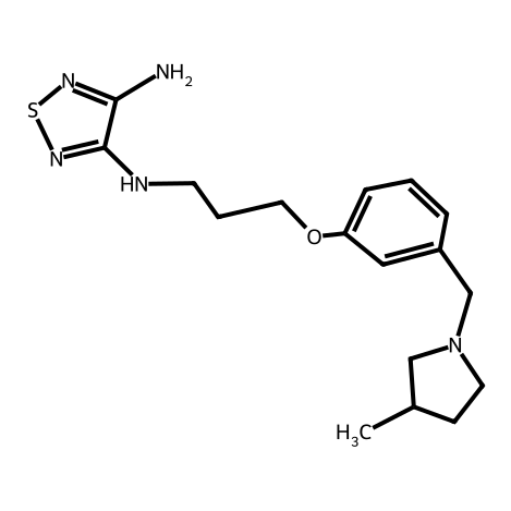 CC1CCN(Cc2cccc(OCCCNc3nsnc3N)c2)C1